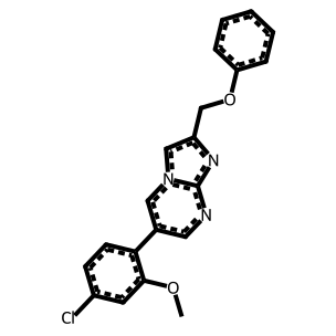 COc1cc(Cl)ccc1-c1cnc2nc(COc3ccccc3)cn2c1